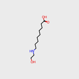 O=C(O)CCCCCCCCNCCO